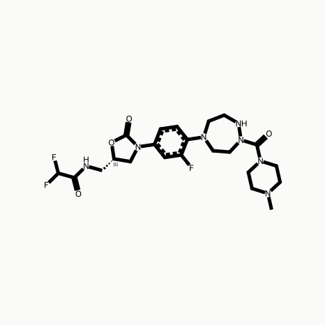 CN1CCN(C(=O)N2CCN(c3ccc(N4C[C@H](CNC(=O)C(F)F)OC4=O)cc3F)CCN2)CC1